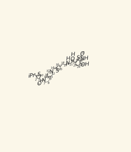 CC(C)c1cc(C(=O)N2CCCC3(CCN(CC4=CC(CCNC[C@H](O)c5ccc(O)c6[nH]c(=O)sc56)CS4)CC3)C2)cs1